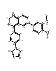 COc1ccc(-c2ccc3ncnc(-c4ccc(-n5cccn5)cc4)c3c2)cc1OC